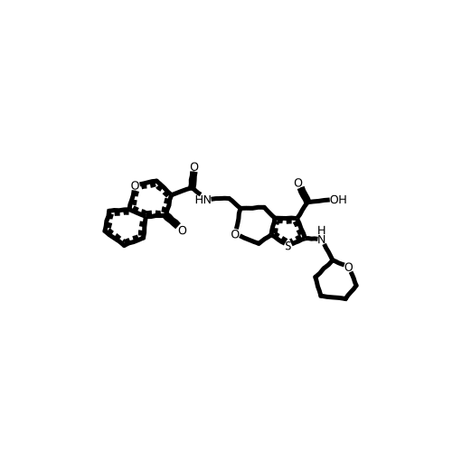 O=C(O)c1c(NC2CCCCO2)sc2c1CC(CNC(=O)c1coc3ccccc3c1=O)OC2